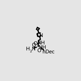 CCCCCCCCCCCC(=O)N[C@H](CC(N)=O)C(=O)NCCc1ccc(C2CCC2)cn1